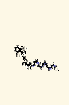 CC/C=C\C/C=C\C/C=C\C/C=C\C/C=C\C/C=C\CC(CC)C(=O)OCCNC(=O)c1ccccc1O